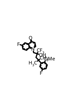 COc1ccc(F)cc1C(C)(C)CC(O)(Cn1ccc(=O)c2cc(F)ccc21)C(F)(F)F